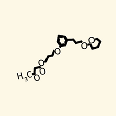 CC(=O)CC(=O)OCCCCOc1cccc(CCCOC2CCCCO2)c1